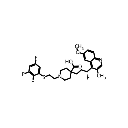 COc1ccc2ncc(C)c([C@H](F)CCC3(C(=O)O)CCN(CCSc4cc(F)cc(F)c4F)CC3)c2c1